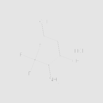 CC(CCO)C(N)C(F)(F)F.Cl